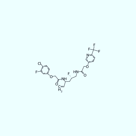 C=CC(C[C@H](F)CNC(=O)COc1ccc(C(F)(F)F)nc1)NC(=O)COc1ccc(Cl)c(F)c1